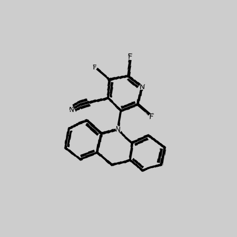 N#Cc1c(F)c(F)nc(F)c1N1c2ccccc2Cc2ccccc21